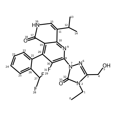 CCn1c(CO)nn(-c2nc3c(C(C)C)c[nH]c(=O)c3c(-c3ccccc3C(F)F)c2F)c1=O